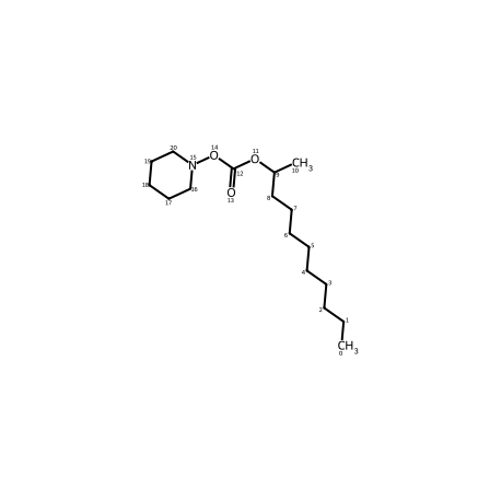 CCCCCCCCCC(C)OC(=O)ON1CCCCC1